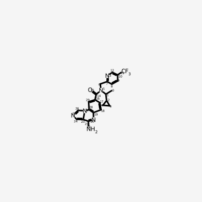 CC(C1CC1)N(Cc1ccc(C(F)(F)F)cn1)C(=O)c1ccc2nc(N)c3cncn3c2c1